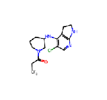 O=C(CC(F)(F)F)N1CCCC(Nc2c(Cl)cnc3c2CCN3)C1